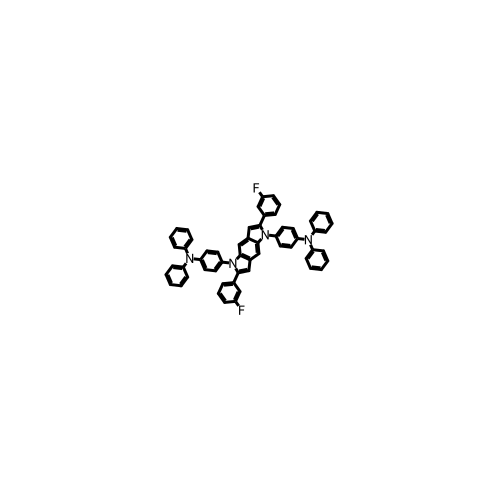 Fc1cccc(-c2cc3cc4c(cc(-c5cccc(F)c5)n4-c4ccc(N(c5ccccc5)c5ccccc5)cc4)cc3n2-c2ccc(N(c3ccccc3)c3ccccc3)cc2)c1